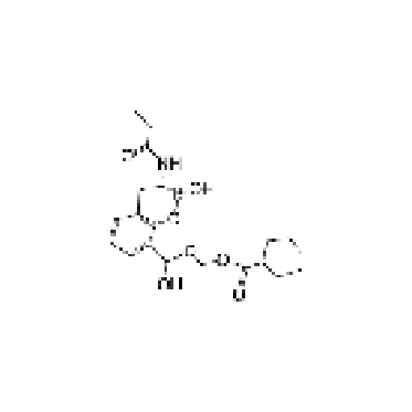 CCC(=O)N[C@H]1Cc2cccc(C(O)OCOC(=O)C3CCCCC3)c2OB1O